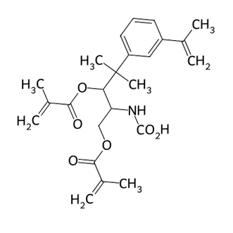 C=C(C)C(=O)OCC(NC(=O)O)C(OC(=O)C(=C)C)C(C)(C)c1cccc(C(=C)C)c1